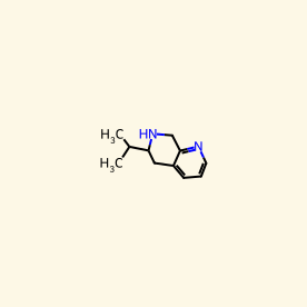 CC(C)C1Cc2cccnc2CN1